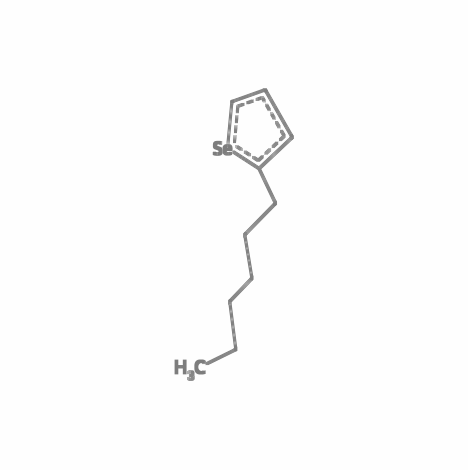 CCCCCCc1ccc[se]1